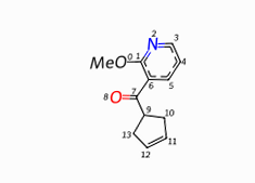 COc1ncccc1C(=O)C1CC=CC1